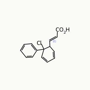 O=C(O)/C=C/C1C=CC=CC1(Cl)c1ccccc1